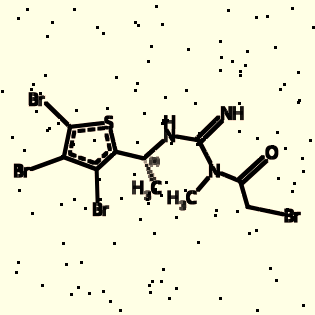 C[C@@H](NC(=N)N(C)C(=O)CBr)c1sc(Br)c(Br)c1Br